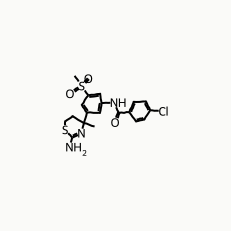 CC1(c2cc(NC(=O)c3ccc(Cl)cc3)cc(S(C)(=O)=O)c2)CCSC(N)=N1